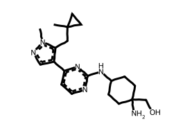 Cn1ncc(-c2ccnc(NC3CCC(N)(CO)CC3)n2)c1CC1(C)CC1